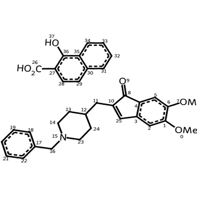 COc1cc2c(cc1OC)C(=O)C(CC1CCN(Cc3ccccc3)CC1)=C2.O=C(O)c1ccc2ccccc2c1O